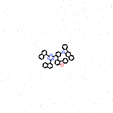 c1ccc2cc3c(cc2c1)c1ccccc1n3-c1ccc(-c2nc(-c3cccc4ccccc34)nc(-c3cccc4ccccc34)n2)c(-c2cccc3oc4ccccc4c23)c1